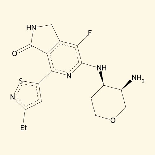 CCc1cc(-c2nc(N[C@@H]3CCOC[C@@H]3N)c(F)c3c2C(=O)NC3)sn1